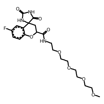 COCCOCCOCCOCCNC(=O)C1CC2(NC(=O)NC2=O)c2cc(F)ccc2O1